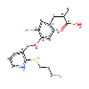 CCCCSc1ncccc1COc1ccc(CC(C)C(=O)O)cc1F